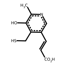 Cc1ncc(C=CC(=O)O)c(CS)c1O